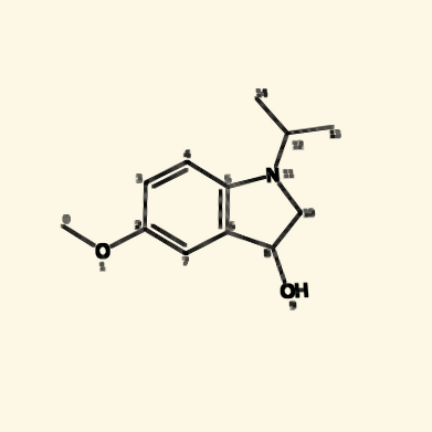 COc1ccc2c(c1)C(O)CN2C(C)C